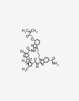 CCn1nc(C)cc1C(=O)Nc1nc2cc(C(N)=O)ccc2n1CCCCn1c(NC(=O)c2cc(C)nn2CC)nc2c(OCC(=O)N(C)C)cccc21